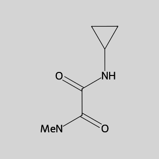 CNC(=O)C(=O)NC1CC1